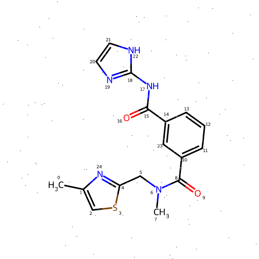 Cc1csc(CN(C)C(=O)c2cccc(C(=O)Nc3ncc[nH]3)c2)n1